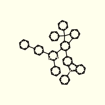 c1ccc(-c2ccc(-c3cc(-c4cc5c(cc4-c4ccc6c(c4)c4ccccc4n6-c4ccccc4)-c4ccccc4C5(c4ccccc4)c4ccccc4)nc(-c4ccccc4)n3)cc2)cc1